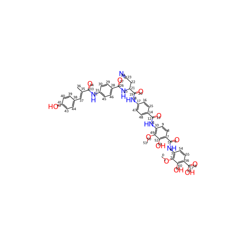 COc1c(NC(=O)c2ccc(NC(=O)c3ccc(NC(=O)C(CC#N)NC(=O)c4ccc(NC(=O)C(C)=Cc5ccc(O)cc5)cc4)cc3)c(OC)c2O)ccc(C(=O)O)c1O